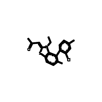 CCN1/C(=C/C(C)=O)Sc2ccc(C)c(-c3ccc(C)cc3Cl)c21